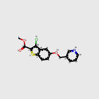 COC(=O)c1sc2ccc(OCc3cccnc3)cc2c1Cl